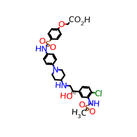 CS(=O)(=O)Nc1cc([C@H](O)CNC2CCN(c3ccc(NS(=O)(=O)c4ccc(OCC(=O)O)cc4)cc3)CC2)ccc1Cl